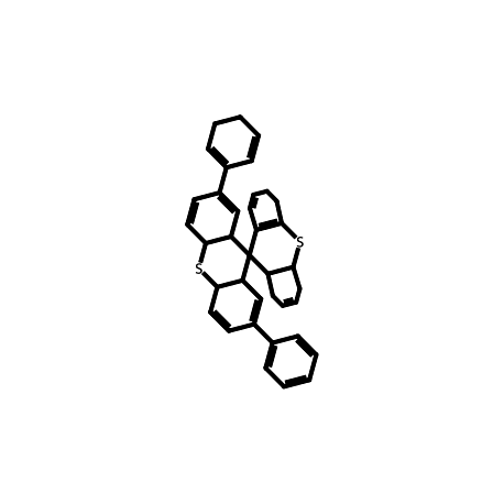 C1=CC(C2=CC3C(C=C2)SC2C=CC(c4ccccc4)=CC2C32C3=C(CCC=C3)SC3CC=CCC32)=CCC1